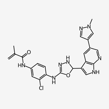 C=C(C)C(=O)Nc1ccc(NC2=NNC(c3c[nH]c4ncc(-c5cnn(C)c5)cc34)O2)c(Cl)c1